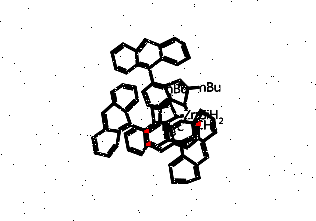 CCCCC1=Cc2c(-c3c4ccccc4cc4ccccc34)ccc(-c3c4ccccc4cc4ccccc34)c2[CH]1[Zr]([CH3])([CH3])(=[SiH2])[CH]1C(CCCC)=Cc2c(-c3c4ccccc4cc4ccccc34)ccc(-c3c4ccccc4cc4ccccc34)c21